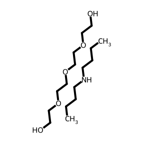 CCCCNCCCC.OCCOCCOCCOCCO